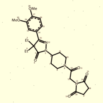 CCC1(CC)C(=O)N(C2CCN(C(=O)CN3C(=O)CCC3=O)CC2)N=C1c1ccc(OC)c(OC)c1